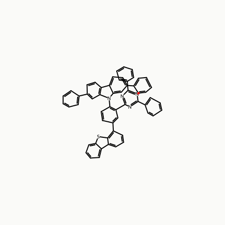 c1ccc(-c2ccc3c4ccc(-c5ccccc5)cc4n(-c4ccc(-c5cccc6c5sc5ccccc56)cc4-c4nc(-c5ccccc5)nc(-c5ccccc5)n4)c3c2)cc1